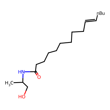 CCCCC=CCCCCCCCCC(=O)NC(C)CO